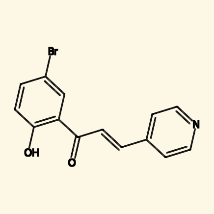 O=C(C=Cc1ccncc1)c1cc(Br)ccc1O